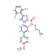 N#CCCCOC(=O)[C@H]1CC(c2c(F)cccc2F)=N[C@H]1c1ccc(-c2ccc(OC(F)(F)F)cc2)cc1